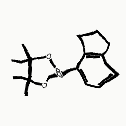 CC1(C)OB(c2cccc3c2CCC3)OC1(C)C